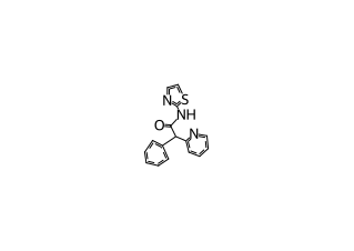 O=C(Nc1nccs1)C(c1ccccc1)c1ccccn1